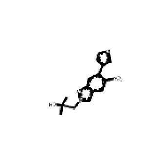 CC(C)(O)Cn1cc2cc([N+](=O)[O-])c(-c3ccoc3)cc2n1